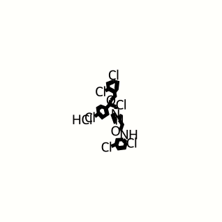 Cl.O=C(CN1C=CN(C(Cl)C(OCc2ccc(Cl)cc2Cl)c2ccc(Cl)cc2)C1)Nc1cc(Cl)ccc1Cl